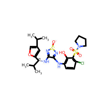 CC(C)c1coc([C@H](Nc2n[s+]([O-])nc2Nc2ccc(Cl)c(S(=O)(=O)N3CCCC3)c2O)C(C)C)c1